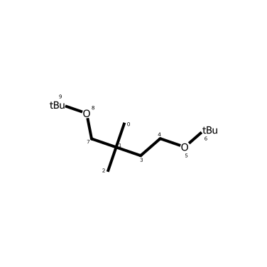 CC(C)(CCOC(C)(C)C)COC(C)(C)C